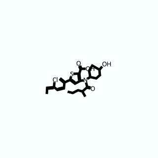 C=C(/C=C\C(Cl)=C/C)c1cc(N(C(=O)C(C)CCC)C2CCC(O)CC2)c(C(=O)O)s1